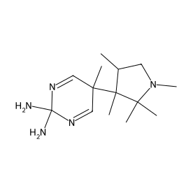 CC1CN(C)C(C)(C)C1(C)C1(C)C=NC(N)(N)N=C1